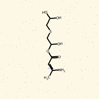 C/C(N)=C/C(=O)OC(O)CSCC(O)O